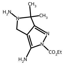 CCOC(=O)n1nc2c(c1N)CN(N)C2(C)C